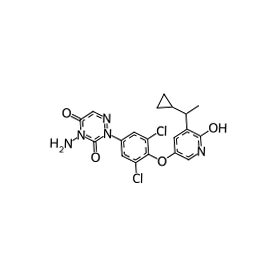 CC(c1cc(Oc2c(Cl)cc(-n3ncc(=O)n(N)c3=O)cc2Cl)cnc1O)C1CC1